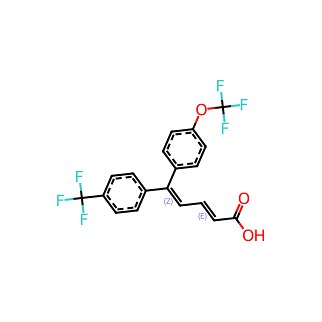 O=C(O)/C=C/C=C(\c1ccc(OC(F)(F)F)cc1)c1ccc(C(F)(F)F)cc1